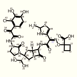 NC1NC(/C(=N/OC2(C(=O)O)CCC2)C(=O)NC2C(=O)N3C[C@@](C(O)O)(N4CCN(NC(=O)C(=O)c5ccc(O)c(O)c5Cl)C4=O)S[C@H]23)=CS1